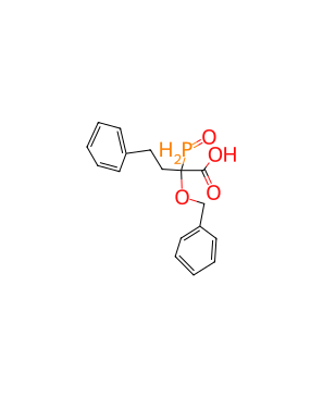 O=[PH2]C(CCc1ccccc1)(OCc1ccccc1)C(=O)O